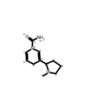 CN1CCCC1C1=CN(C(N)=O)C=CC1